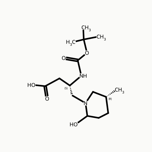 C[C@@H]1CCC(O)N(C[C@H](CC(=O)O)NC(=O)OC(C)(C)C)C1